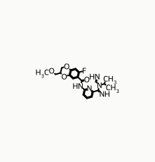 COCC1COc2cc(F)c(C(=O)Nc3cccc(C(=N)N(C=N)C(C)C)n3)cc2O1